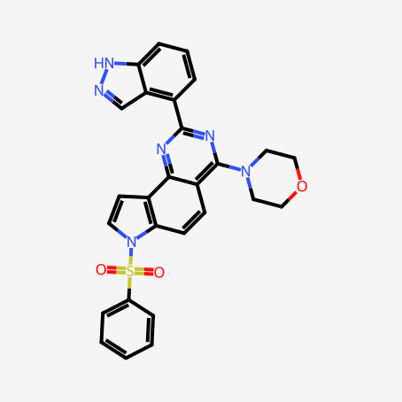 O=S(=O)(c1ccccc1)n1ccc2c3nc(-c4cccc5[nH]ncc45)nc(N4CCOCC4)c3ccc21